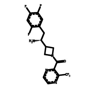 N[C@H](Cc1cc(F)c(F)cc1F)C1CN(C(=O)c2nccnc2C(F)(F)F)C1